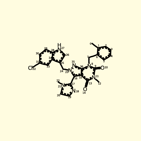 Cc1ccccc1Cn1c(=O)n(C)c(=O)c2c(-c3nccn3C)n(Cc3c[nH]c4ccc(Cl)cc34)nc21